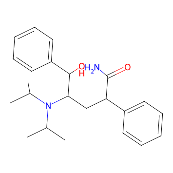 CC(C)N(C(C)C)C(CC(C(N)=O)c1ccccc1)C(O)c1ccccc1